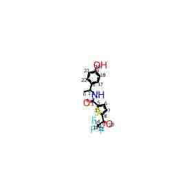 CC(NC(=O)c1ccc(C(=O)C(F)(F)F)s1)c1ccc(O)cc1